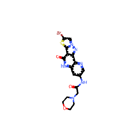 O=C(CN1CCOCC1)Nc1cnc2c(c1)[nH]c(=O)c1c2nn2cc(Br)sc12